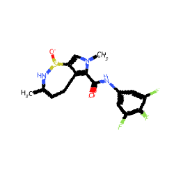 CC1CCc2c(cn(C)c2C(=O)Nc2cc(F)c(F)c(F)c2)[S+]([O-])N1